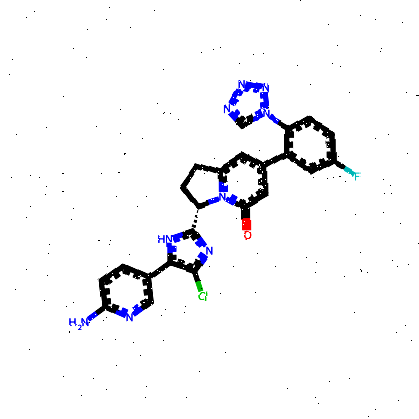 Nc1ccc(-c2[nH]c([C@@H]3CCc4cc(-c5cc(F)ccc5-n5cnnn5)cc(=O)n43)nc2Cl)cn1